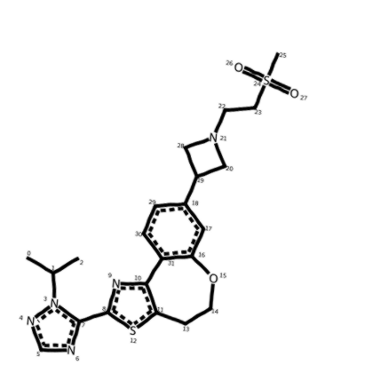 CC(C)n1ncnc1-c1nc2c(s1)CCOc1cc(C3CN(CCS(C)(=O)=O)C3)ccc1-2